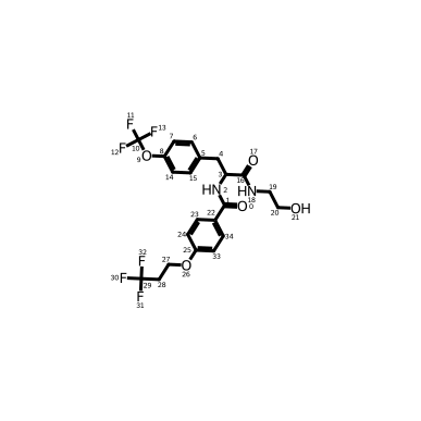 O=C(NC(Cc1ccc(OC(F)(F)F)cc1)C(=O)NCCO)c1ccc(OCCC(F)(F)F)cc1